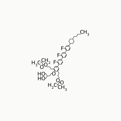 C=C(C)C(=O)OCCCc1cc(-c2ccc(-c3ccc(-c4ccc(C5CCC(CCCCC)CC5)cc4F)cc3F)cc2F)cc(CCCOC(=O)C(=C)C)c1OCCC(CO)CO